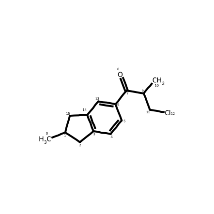 CC1Cc2ccc(C(=O)C(C)CCl)cc2C1